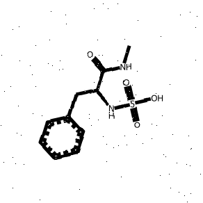 CNC(=O)C(Cc1ccccc1)NS(=O)(=O)O